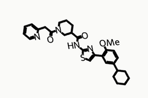 COc1ccc(C2CCCCC2)cc1-c1csc(NC(=O)C2CCCN(C(=O)Cc3ccccn3)C2)n1